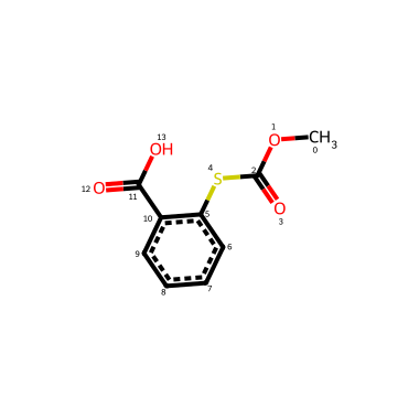 COC(=O)Sc1ccccc1C(=O)O